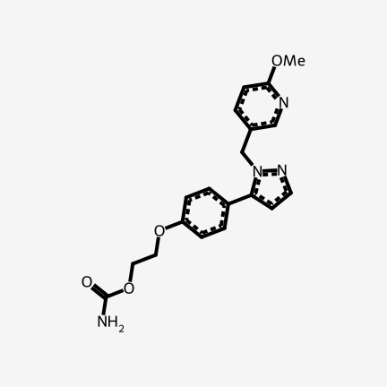 COc1ccc(Cn2nccc2-c2ccc(OCCOC(N)=O)cc2)cn1